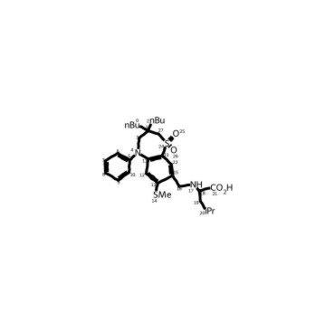 CCCCC1(CCCC)CN(c2ccccc2)c2cc(SC)c(CNC(CC(C)C)C(=O)O)cc2S(=O)(=O)C1